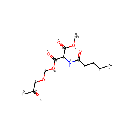 CC(C)CCCC(=O)NC(C(=O)OCOCC(=O)C(C)C)C(=O)OC(C)(C)C